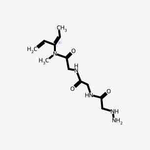 C=C/C(=C\C)N(C)C(=O)CNC(=O)CNC(=O)CNN